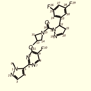 Cn1nccc1-c1ncc(F)c(OC2CN(C(=O)N3N=CCC3c3cc(F)cc(F)c3)C2)n1